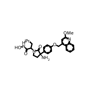 COc1cc(COc2ccc([C@]3(N)CCN(C(CC(C)C)C(=O)NO)C3=O)cc2)c2ccccc2n1